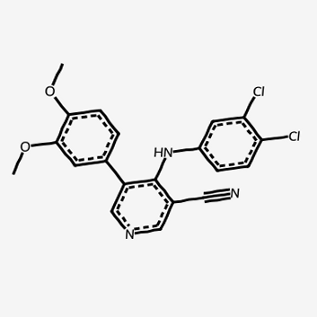 COc1ccc(-c2cncc(C#N)c2Nc2ccc(Cl)c(Cl)c2)cc1OC